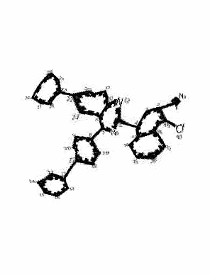 N#Cc1cc(-c2nc(-c3ccc(-c4ccccc4)cc3)c3cc(-c4ccccc4)ccc3n2)c2ccccc2c1Cl